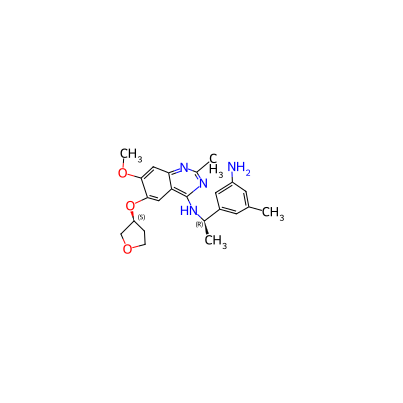 COc1cc2nc(C)nc(N[C@H](C)c3cc(C)cc(N)c3)c2cc1O[C@H]1CCOC1